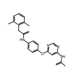 C=C(C)Nc1cc(Oc2ccc(NC(=C)Cc3c(C)cccc3C)cc2)ncn1